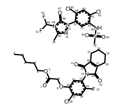 CCCCCOC(=O)COc1cc(N2C(=O)C3=C(CCCC3)C2=O)c(F)cc1Cl.Cc1nn(-c2cc(NS(C)(=O)=O)c(Cl)cc2Cl)c(=O)n1C(F)F